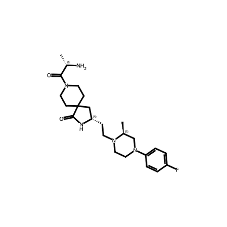 C[C@H](N)C(=O)N1CCC2(CC1)C[C@H](CCN1CCN(c3ccc(F)cc3)C[C@@H]1C)NC2=O